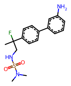 CN(C)S(=O)(=O)NCC(C)(F)c1ccc(-c2cccc(N)c2)cc1